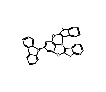 c1ccc2c3c(sc2c1)Oc1cc(-n2c4ccccc4c4ccccc42)cc2c1B3c1c(sc3ccccc13)O2